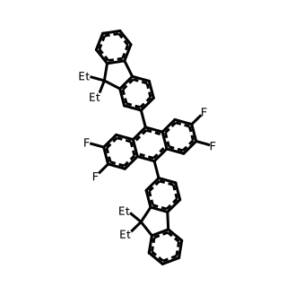 CCC1(CC)c2ccccc2-c2ccc(-c3c4cc(F)c(F)cc4c(-c4ccc5c(c4)C(CC)(CC)c4ccccc4-5)c4cc(F)c(F)cc34)cc21